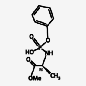 COC(=O)[C@H](C)NP(=O)(O)Oc1ccccc1